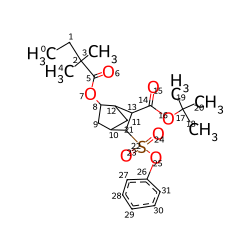 CCC(C)(C)C(=O)OC1CC2CC1C(C(=O)OC(C)(C)C)C2S(=O)(=O)Oc1ccccc1